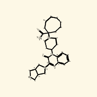 NC(=O)C1(N2CCC(n3c(=O)c(N4CC5CNCC5C4)nc4ccccc43)CC2)CCCCCCC1